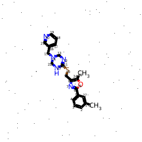 Cc1cccc(-c2nc(CSC3=NCN(Cc4cccnc4)CN3)c(C)o2)c1